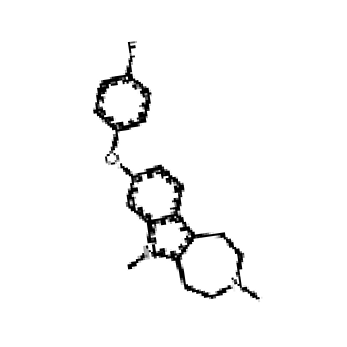 CN1CCc2c(n(C)c3cc(Oc4ccc(F)cc4)ccc23)CC1